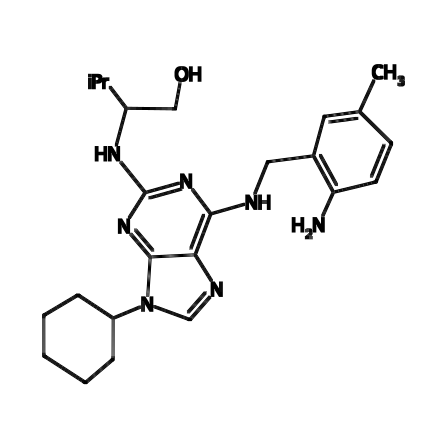 Cc1ccc(N)c(CNc2nc(NC(CO)C(C)C)nc3c2ncn3C2CCCCC2)c1